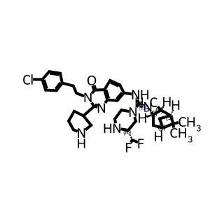 C[C@@H]1[C@@H](/N=C(/Nc2ccc3c(=O)n(CCc4ccc(Cl)cc4)c(C4CCCNC4)nc3c2)N2CCN[C@@H](C(F)F)C2)C[C@H]2C[C@@H]1C2(C)C